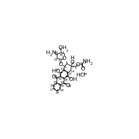 C[C@@H]1O[C@@H](O[C@H]2C[C@](O)(COC(N)=O)Cc3c(O)c4c(c(O)c32)C(=O)c2ccccc2C4=O)C[C@H](N)[C@H]1O.Cl